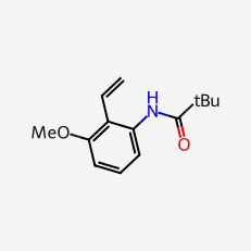 C=Cc1c(NC(=O)C(C)(C)C)cccc1OC